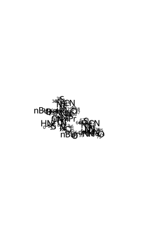 CC1=CSC(=C(C#N)c2cc(N(C)c3ccccc3)nc(NC(C)C)n2)N1.CCCCOCCCNc1nc(C(C#N)=C2NC(C)=CS2)cc(N(C)c2ccccc2)n1.CCCCOCCCNc1nc(C(C#N)=C2NC(C)=CS2)nc(N2CCOCC2)n1